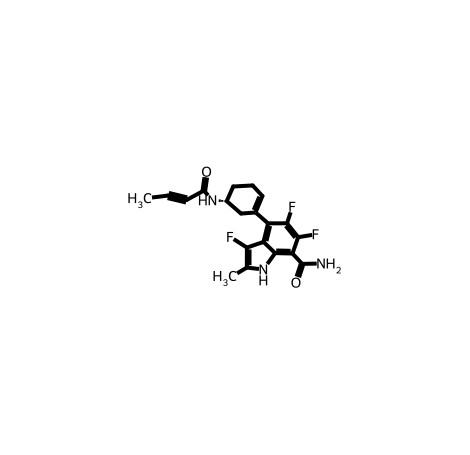 CC#CC(=O)N[C@@H]1CCC=C(c2c(F)c(F)c(C(N)=O)c3[nH]c(C)c(F)c23)C1